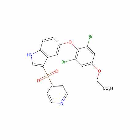 O=C(O)COc1cc(Br)c(Oc2ccc3[nH]cc(S(=O)(=O)c4ccncc4)c3c2)c(Br)c1